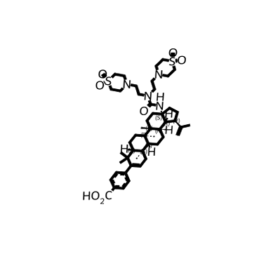 C=C(C)[C@@H]1CC[C@]2(NC(=O)N(CCN3CCS(=O)(=O)CC3)CCN3CCS(=O)(=O)CC3)CC[C@]3(C)[C@H](CC[C@@H]4[C@@]5(C)CC=C(c6ccc(C(=O)O)cc6)C(C)(C)[C@@H]5CC[C@]43C)[C@@H]12